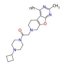 CCCc1nc(C)nc2oc3c(c12)CCN(CC(=O)N1CCN(C2CCC2)CC1)C3